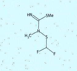 CSC(=N)N(C)SC(F)F